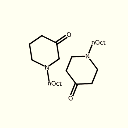 CCCCCCCCN1CCC(=O)CC1.CCCCCCCCN1CCCC(=O)C1